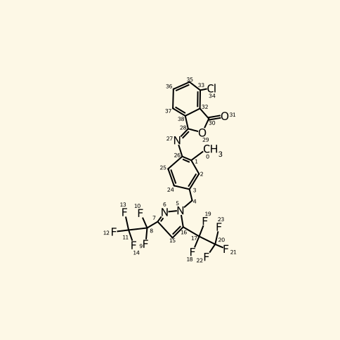 Cc1cc(Cn2nc(C(F)(F)C(F)(F)F)cc2C(F)(F)C(F)(F)F)ccc1N=C1OC(=O)c2c(Cl)cccc21